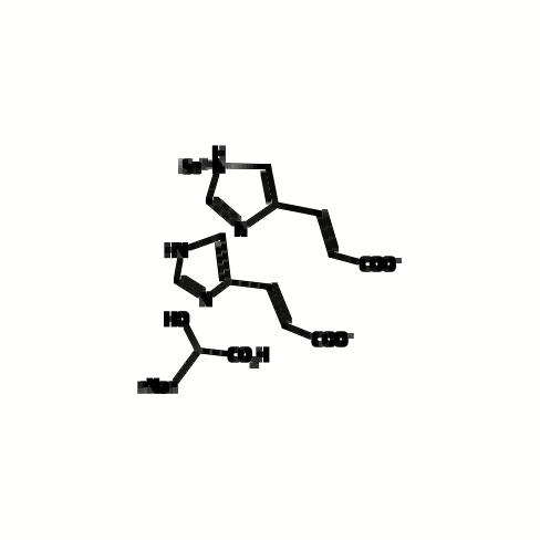 CCCCCCCCCC(O)C(=O)O.O=C([O-])C=Cc1c[nH]cn1.O=C([O-])C=Cc1c[nH]cn1.[Se+2]